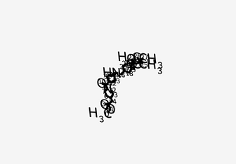 COC(=O)CC1CCN(C(=O)c2ccc(NCC3CCN(C(=O)OC(C)(C)C)CC3)cc2)CC1